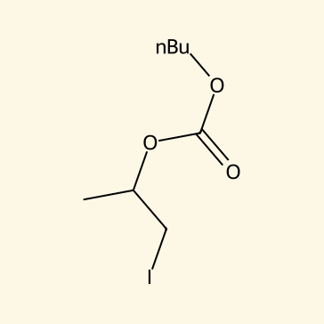 CCCCOC(=O)OC(C)CI